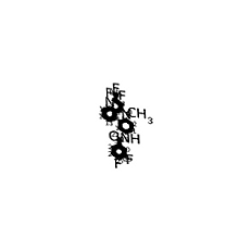 CN(c1cc(C(F)(F)F)nc2ccccc12)[C@H]1CC[C@@H](NC(=O)c2ccc(F)c(F)c2)CC1